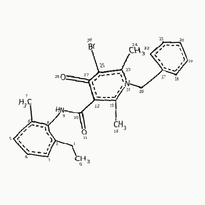 CCc1cccc(C)c1NC(=O)c1c(C)n(Cc2ccccc2)c(C)c(Br)c1=O